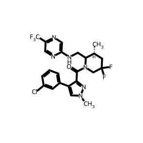 C[C@@H]1CC(F)(F)CN(C(=O)c2nn(C)cc2-c2cccc(Cl)c2)C1CNc1cnc(C(F)(F)F)cn1